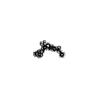 Cc1cnnc2c1C1(CCN(c3cc4c(c(C(F)F)n3)C=CC[C@H]3[C@H](N5CCN(C(=O)OCc6ccccc6)CC5)CN43)CC1)O[C@@H]2C